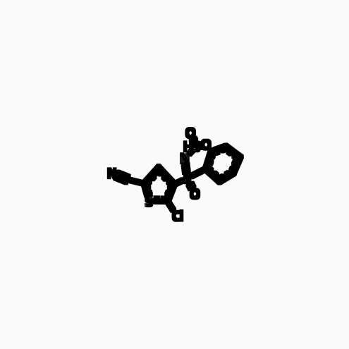 N#Cc1cc(S(=O)(=N[SH](=O)=O)c2ccccc2)c(Cl)s1